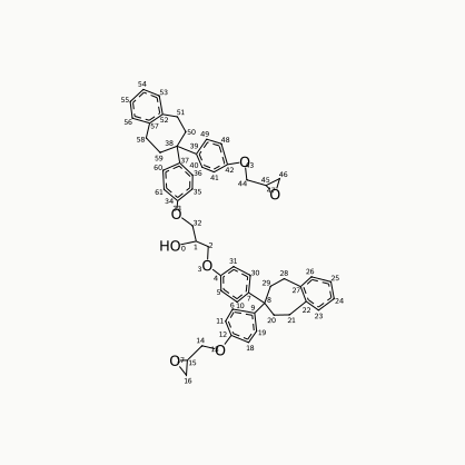 OC(COc1ccc(C2(c3ccc(OCC4CO4)cc3)CCc3ccccc3CC2)cc1)COc1ccc(C2(c3ccc(OCC4CO4)cc3)CCc3ccccc3CC2)cc1